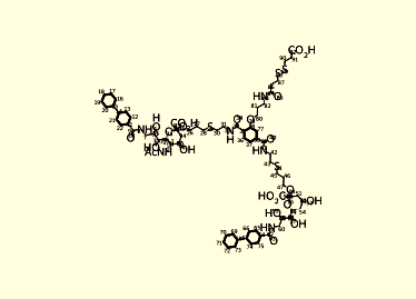 CC(=O)N[C@H]1[C@H]([C@H](O)[C@H](O)CNC(=O)c2ccc(-c3ccccc3)cc2)O[C@@](OCCCSCCNC(=O)c2ccc(C(=O)NCCSCCCO[C@]3(C(=O)O)C[C@H](O)C[C@H]([C@H](O)[C@H](O)CNC(=O)c4ccc(-c5ccccc5)cc4)O3)cc2OCCCNC(=O)CCSSCCC(=O)O)(C(=O)O)C[C@@H]1O